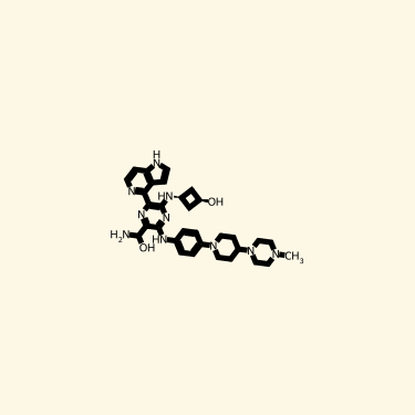 CN1CCN(C2CCN(c3ccc(Nc4nc(N[C@H]5C[C@H](O)C5)c(-c5nccc6[nH]ccc56)nc4C(N)O)cc3)CC2)CC1